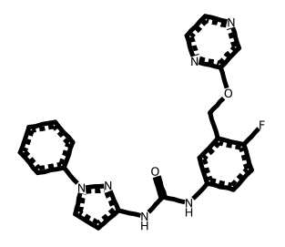 O=C(Nc1ccc(F)c(COc2cnccn2)c1)Nc1ccn(-c2ccccc2)n1